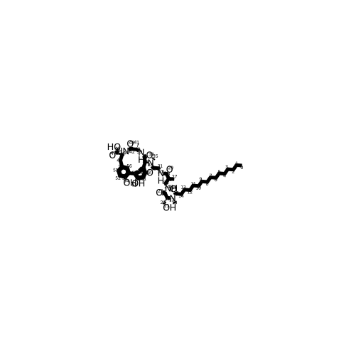 CCCCCCCCCCCCCCCC(=O)N(C)[C@H](CO)C(=O)NCC(C)C(=O)NCC(=O)N(C)[C@@H]1C(=O)N[C@@H](C)C(=O)N[C@H](C(=O)O)Cc2ccc(O)c(c2)-c2cc1ccc2O